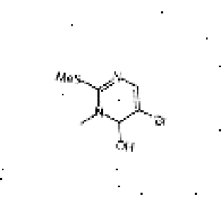 CSC1=NC=C(Br)C(O)N1C